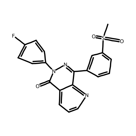 CS(=O)(=O)c1cccc(-c2nn(-c3ccc(F)cc3)c(=O)c3cccnc23)c1